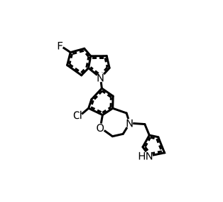 Fc1ccc2c(ccn2-c2cc(Cl)c3c(c2)CN(Cc2cc[nH]c2)CCO3)c1